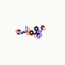 O=S(=O)(NCCCN1CCOCC1)c1ccc(-c2oc3ncnc(NC[C@@H]4CCCO4)c3c2-c2ccccc2)cc1